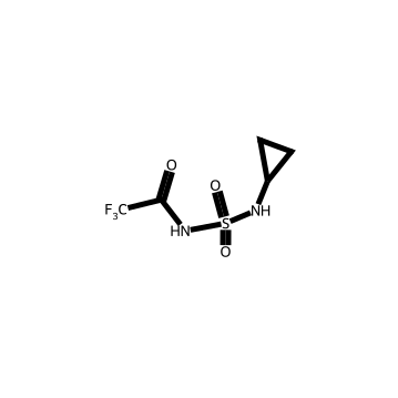 O=C(NS(=O)(=O)NC1CC1)C(F)(F)F